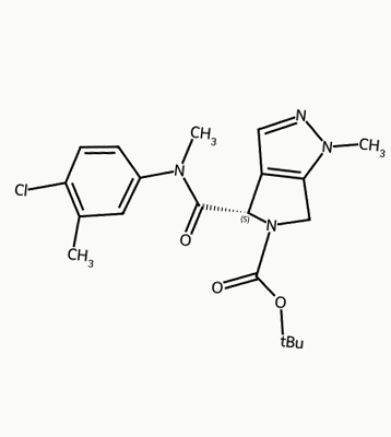 Cc1cc(N(C)C(=O)[C@@H]2c3cnn(C)c3CN2C(=O)OC(C)(C)C)ccc1Cl